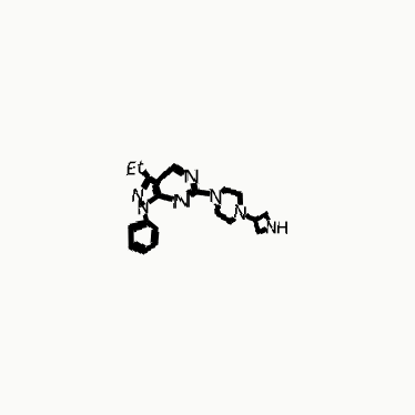 CCc1nn(-c2ccccc2)c2nc(N3CCN(C4CNC4)CC3)ncc12